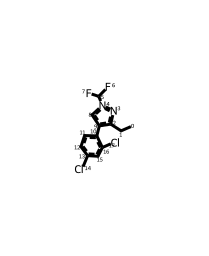 CCc1nn(C(F)F)cc1-c1ccc(Cl)cc1Cl